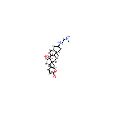 CN(C)CCN=C1CC[C@@]2(C)C(CCC3C2CC[C@]2(C)[C@@H](c4ccc(=O)oc4)CC[C@]32O)C1